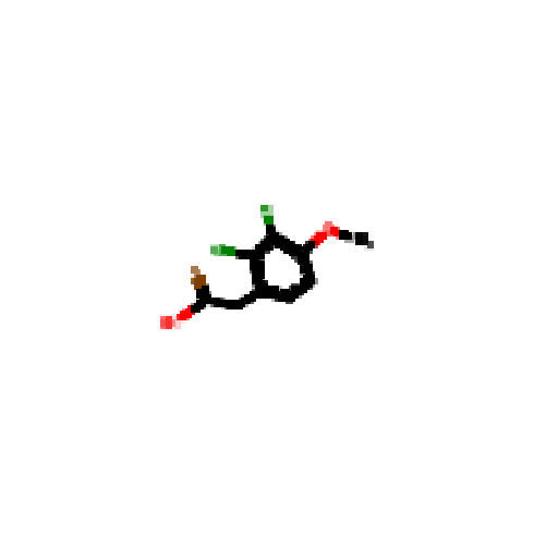 COc1ccc(CC(O)=S)c(Cl)c1Cl